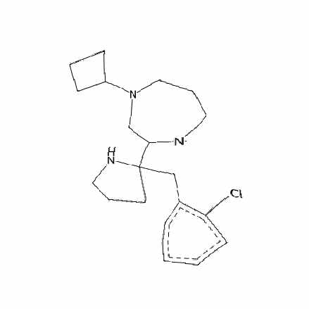 Clc1ccccc1CC1(C2CN(C3CCC3)CCC[N]2)CCCN1